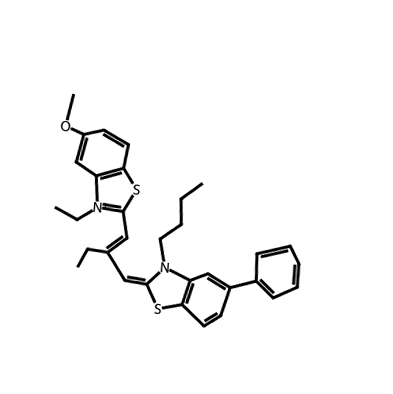 CCCCN1C(=CC(=Cc2sc3ccc(OC)cc3[n+]2CC)CC)Sc2ccc(-c3ccccc3)cc21